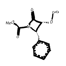 COC(=O)N1C(=O)[C@H](OC=O)[C@@H]1c1ccccc1